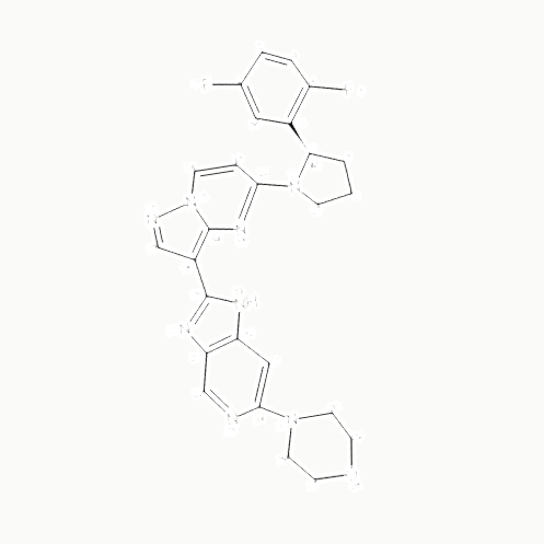 Fc1ccc(F)c([C@H]2CCCN2c2ccn3ncc(-c4nc5cnc(N6CCOCC6)cc5[nH]4)c3n2)c1